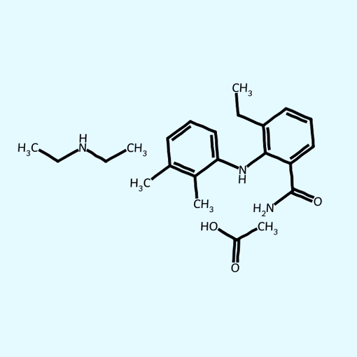 CC(=O)O.CCNCC.CCc1cccc(C(N)=O)c1Nc1cccc(C)c1C